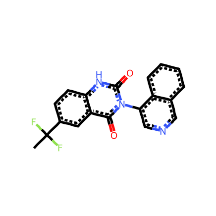 CC(F)(F)c1ccc2[nH]c(=O)n(-c3cncc4ccccc34)c(=O)c2c1